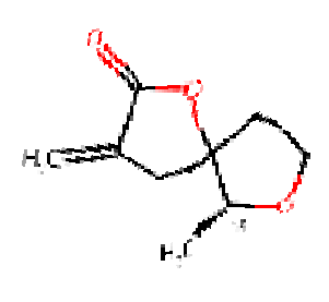 C=C1CC2(CCO[C@H]2C)OC1=O